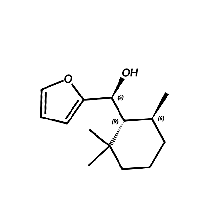 C[C@H]1CCCC(C)(C)[C@@H]1[C@H](O)c1ccco1